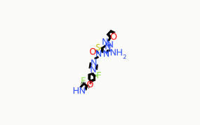 Nc1nc2c(sc(=O)n2CCN2CCN(c3ccc(O[C@@H]4CNC[C@@H]4F)cc3F)CC2)c2nc(-c3ccco3)nn12